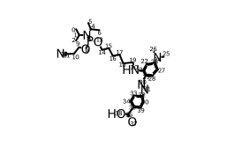 CC(C)N(C(C)C)P(OCCC#N)OCCCCCCNc1cc(N(C)C)ccc1N=Nc1ccc(C(=O)O)cc1